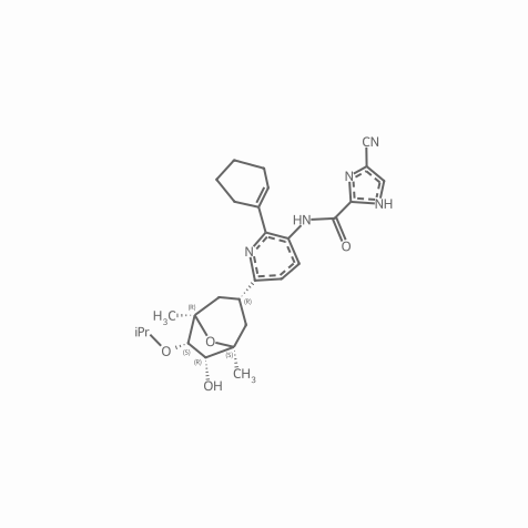 CC(C)O[C@H]1[C@@H](O)[C@]2(C)C[C@@H](c3ccc(NC(=O)c4nc(C#N)c[nH]4)c(C4=CCCCC4)n3)C[C@@]1(C)O2